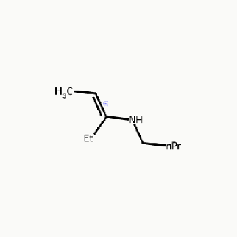 C/C=C(\CC)NCCCC